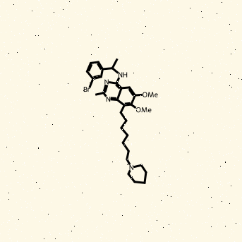 COc1cc2c(NC(C)c3cccc(Br)c3)nc(C)nc2c(CCCCCCCN2CCCCC2)c1OC